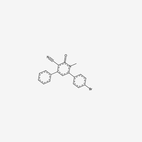 Cn1c(-c2ccc(Br)cc2)cc(-c2ccccc2)c(C#N)c1=O